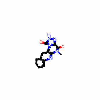 Cn1c(=O)c2n[nH]c(=O)n2c2cc3ccccc3nc21